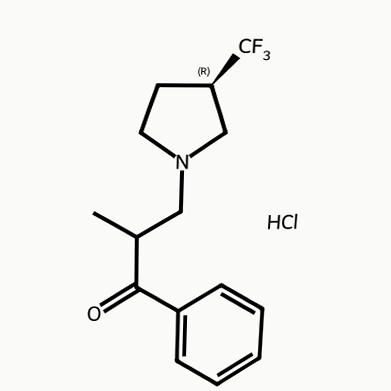 CC(CN1CC[C@@H](C(F)(F)F)C1)C(=O)c1ccccc1.Cl